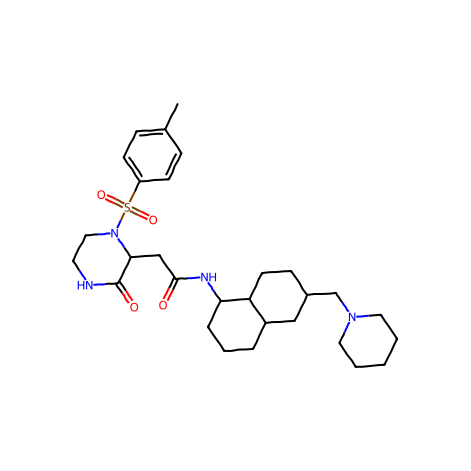 Cc1ccc(S(=O)(=O)N2CCNC(=O)C2CC(=O)NC2CCCC3CC(CN4CCCCC4)CCC32)cc1